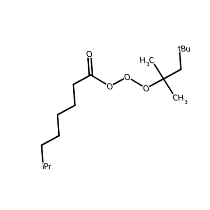 CC(C)CCCCCC(=O)OOOC(C)(C)CC(C)(C)C